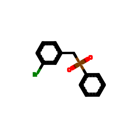 O=S(=O)(Cc1cccc(Br)c1)c1ccccc1